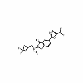 CN(CC1CC(F)(F)C1)N1Cc2ccc(-c3nnc(C(F)F)o3)cc2C1=O